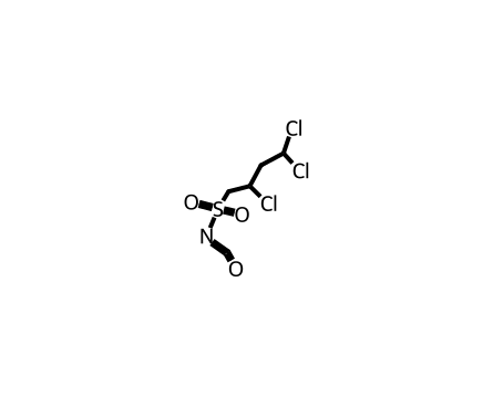 O=C=NS(=O)(=O)CC(Cl)CC(Cl)Cl